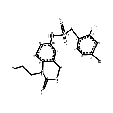 CCCN1C(=O)SCc2cc(NS(=O)(=O)Cc3ccc(C)cc3F)ccc21